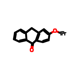 CC(C)Oc1ccc2c(c1)Cc1ccccc1C2=O